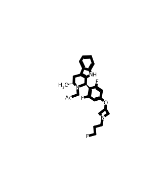 CC(=O)CN1[C@H](c2c(F)cc(OC3CN(CCCF)C3)cc2F)c2[nH]c3ccccc3c2C[C@H]1C